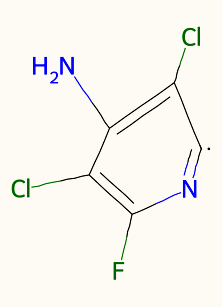 Nc1c(Cl)[c]nc(F)c1Cl